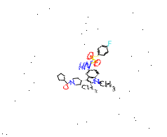 C[C@@H]1CN(C(=O)C2CCCC2)CC[C@@H]1c1cn(C)c2ccc(NS(=O)(=O)c3ccc(F)cc3)cc12